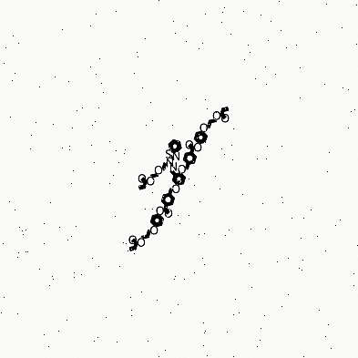 C=CC(=O)OCCCOc1ccc(OC(=O)C2CCC(COc3ccc(OCC4CCC(C(=O)Oc5ccc(OCCCOC(=O)C=C)cc5)CC4)c(/C=N/N(CCOCCOC(=O)C=C)c4nc5ccccc5s4)c3)CC2)cc1